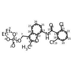 CCOP(=O)(OCC)OCc1c(C)oc2c(NC(=O)c3c(Cl)cccc3Cl)cccc12